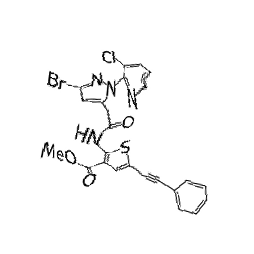 COC(=O)c1cc(C#Cc2ccccc2)sc1NC(=O)c1cc(Br)nn1-c1ncccc1Cl